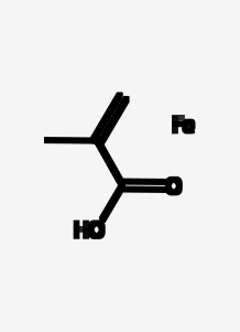 C=C(C)C(=O)O.[Fe]